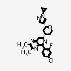 Cc1nc2cc([C@H]3CCO[C@@H](c4cnn(C5CC5)c4)C3)nc(-c3ccc(Cl)cc3F)c2nc1C